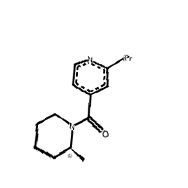 CC(C)c1cc(C(=O)N2CCCC[C@@H]2C)ccn1